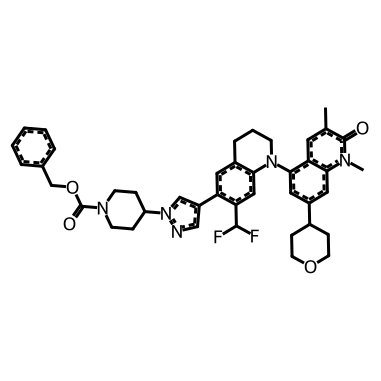 Cc1cc2c(N3CCCc4cc(-c5cnn(C6CCN(C(=O)OCc7ccccc7)CC6)c5)c(C(F)F)cc43)cc(C3CCOCC3)cc2n(C)c1=O